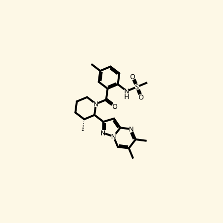 Cc1ccc(NS(C)(=O)=O)c(C(=O)N2CCC[C@@H](C)C2c2cc3nc(C)c(C)cn3n2)c1